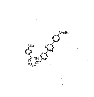 CCCCOc1ccc(-c2cnc(-c3ccc(C[C@H](NC(=O)c4ccc(C(C)(C)C)s4)C(=O)O)cc3)nc2)cc1